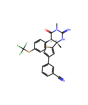 CN1C(=N)N[C@](C)(c2cc(-c3cccc(C#N)c3)cs2)[C@@H](c2ccc(SC(F)(F)F)cc2)C1=O